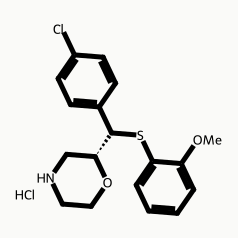 COc1ccccc1SC(c1ccc(Cl)cc1)[C@H]1CNCCO1.Cl